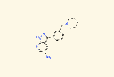 Nc1cnc2[nH]nc(-c3cccc(CN4CCCCC4)c3)c2c1